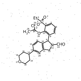 CCS(=O)(=O)c1cccc(C2c3ccc(C4CCOCC4)nc3CN2C=O)c1O[C@@H](C)C(F)(F)F